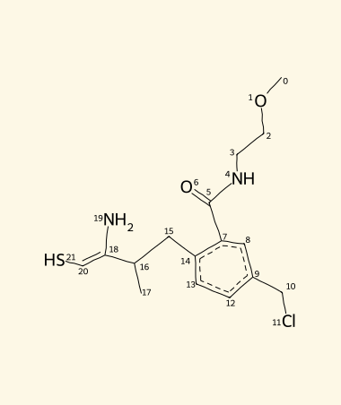 COCCNC(=O)c1cc(CCl)ccc1CC(C)/C(N)=C/S